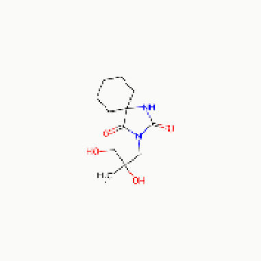 CC(O)(CO)CN1C(=O)NC2(CCCCC2)C1=O